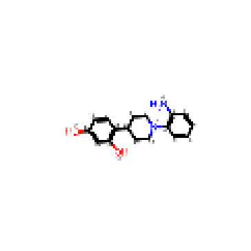 Nc1[c]cccc1N1CCC(c2ccc(O)cc2O)CC1